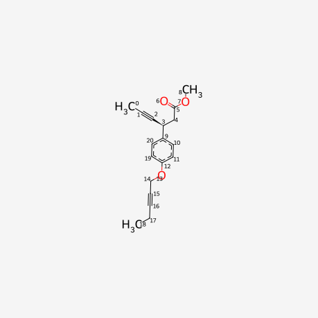 CC#C[C@@H](CC(=O)OC)c1ccc(OCC#CCC)cc1